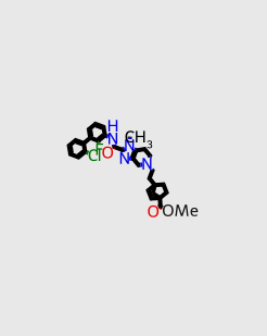 COC(=O)C12CCC(CCN3CCc4c(nc(C(=O)Nc5cccc(-c6ccccc6Cl)c5F)n4C)C3)(CC1)C2